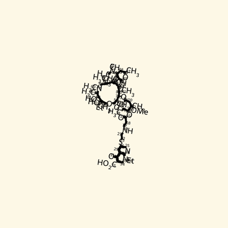 CC[C@@H]1OC(=O)[C@H](C)[C@H](O[C@H]2C[C@](C)(OC)[C@@H](OC(=O)CCNCCSc3cnc4c(c3)c(=O)c(C(=O)O)cn4CC)[C@@H](C)O2)[C@@H](C)[C@H](O[C@H]2O[C@@H](C)C[C@@H](N(C)C)[C@H]2O)[C@@](C)(O)C[C@H](C)CN(C)[C@H](C)[C@@H](O)[C@@]1(C)O